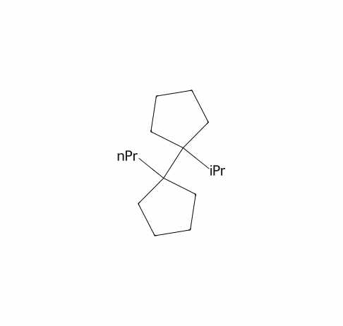 CCCC1(C2(C(C)C)CCCC2)CCCC1